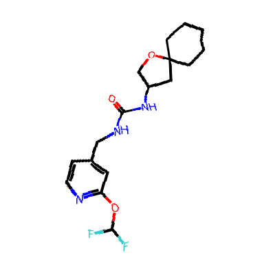 O=C(NCc1ccnc(OC(F)F)c1)NC1COC2(CCCCC2)C1